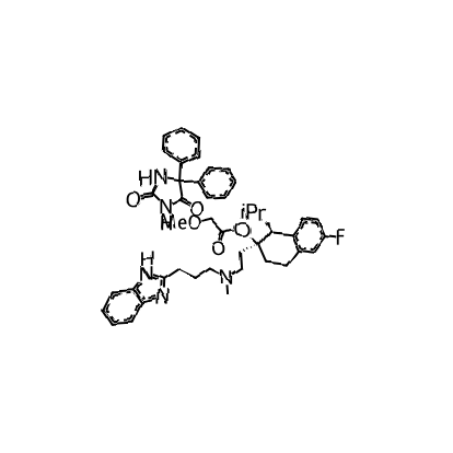 COCC(=O)O[C@]1(CCN(C)CCCc2nc3ccccc3[nH]2)CCc2cc(F)ccc2[C@@H]1C(C)C.O=C1NC(=O)C(c2ccccc2)(c2ccccc2)N1